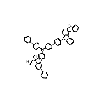 CC1(C)c2ccc(-c3ccccc3)cc2-c2ccc(N(c3ccc(-c4ccccc4)cc3)c3ccc(-c4ccc(-n5c6ccccc6c6c7c(ccc65)oc5ccccc57)cc4)cc3)cc21